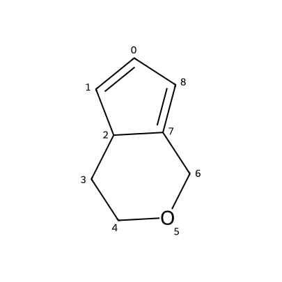 C1=CC2CCOCC2=C1